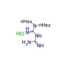 CCCCCCN(CCCCCC)C(=N)NC(=N)N.Cl